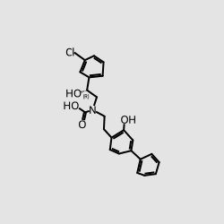 O=C(O)N(CCc1ccc(-c2ccccc2)cc1O)C[C@H](O)c1cccc(Cl)c1